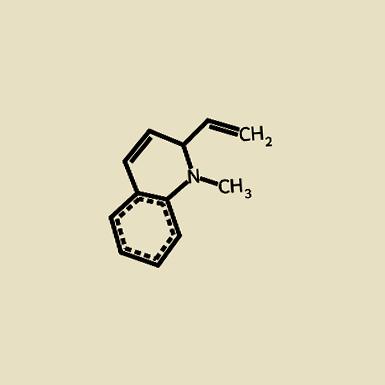 C=CC1C=Cc2ccccc2N1C